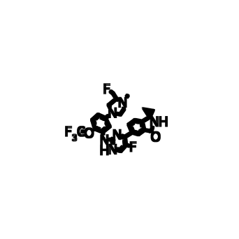 CN1CCN(c2ccc(OC(F)(F)F)c(Nc3ncc(F)c(-c4ccc5c(c4)C(=O)NC54CC4)n3)c2)CC1CF